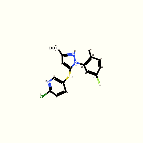 CCOC(=O)c1cc(Sc2ccc(Cl)nc2)n(-c2cc(F)ccc2C)n1